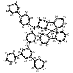 c1ccc(-c2ccc(N(c3ccc(-c4cc(-c5ccccc5)cc(-c5ccccc5)c4)cc3)c3ccc4c(c3)C3(c5ccccc5-c5ccccc53)c3ccccc3-4)cc2)cc1